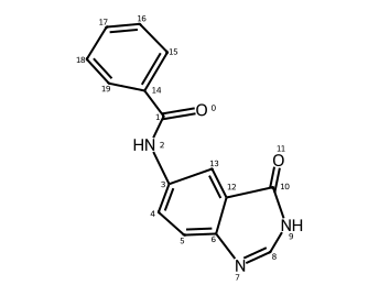 O=C(Nc1ccc2nc[nH]c(=O)c2c1)c1ccccc1